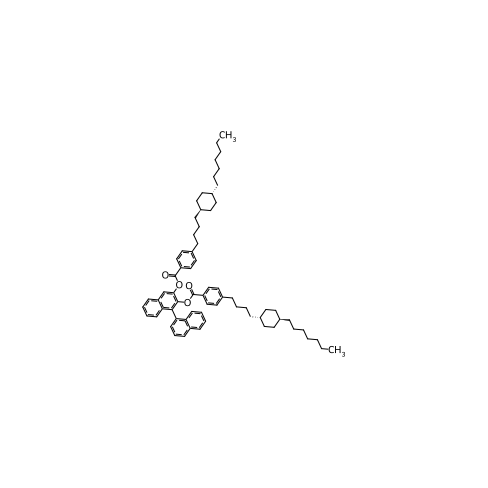 CCCCCCC[C@H]1CC[C@H](CCCCc2ccc(C(=O)Oc3cc4ccccc4c(-c4cccc5ccccc45)c3OC(=O)c3ccc(CCCC[C@H]4CC[C@H](CCCCCCC)CC4)cc3)cc2)CC1